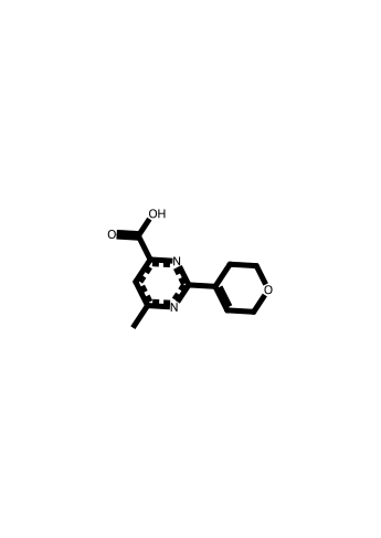 Cc1cc(C(=O)O)nc(C2=CCOCC2)n1